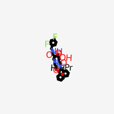 CC(C)[C@@]1(c2ccccc2)C(c2ccccc2)O[C@H]2Cn3cc(C(=O)NCc4ccc(F)cc4F)c(=O)c(O)c3C(=O)N21